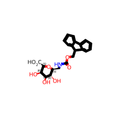 O=C(NC[C@@H]1O[C@H](C(=O)O)[C@H](O)[C@H](O)[C@H]1O)OCC1c2ccccc2-c2ccccc21